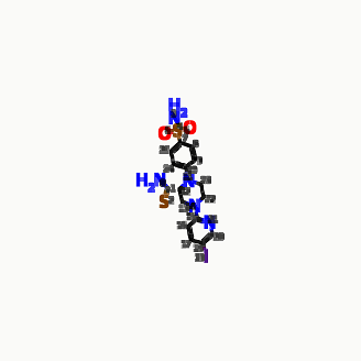 NC=S.NS(=O)(=O)c1ccc(N2CCN(c3ccc(I)cn3)CC2)cc1